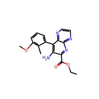 CCOC(=O)c1nc2nccnc2c(-c2cccc(OC)c2C)c1N